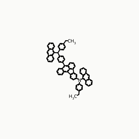 CCc1ccc(C(c2ccc(-c3c4ccccc4c4c5c(cccc35)-c3cc(N(c5ccc(CC)cc5)c5c6ccccc6cc6ccccc56)ccc3-4)cc2)c2c3ccccc3cc3ccccc23)cc1